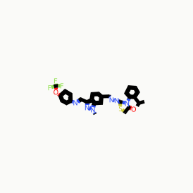 CC(C)c1ccccc1N1C(=O)CSC1=NN=Cc1ccc2c(/C=N/c3ccc(OC(F)(F)F)cc3)nn(C)c2c1